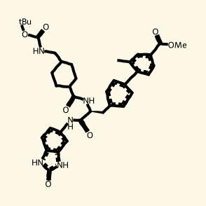 COC(=O)c1ccc(-c2ccc(C[C@H](NC(=O)C3CCC(CNC(=O)OC(C)(C)C)CC3)C(=O)Nc3ccc4[nH]c(=O)[nH]c4c3)cc2)c(C)c1